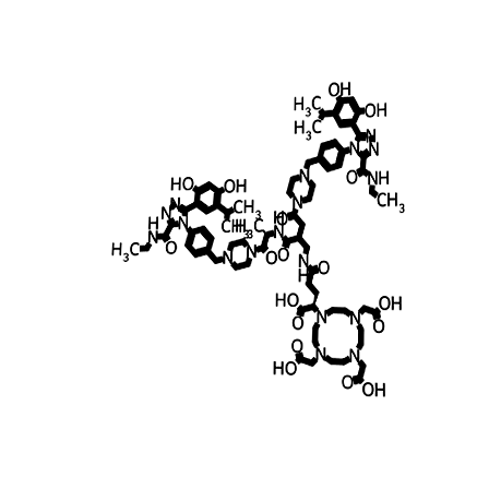 CCNC(=O)c1nnc(-c2cc(C(C)C)c(O)cc2O)n1-c1ccc(CN2CCN(C(=O)CC(CNC(=O)CC[C@H](C(=O)O)N3CCN(CC(=O)O)CCN(CC(=O)O)CCN(CC(=O)O)CC3)C(=O)N[C@@H](C)C(=O)N3CCN(Cc4ccc(-n5c(C(=O)NCC)nnc5-c5cc(C(C)C)c(O)cc5O)cc4)CC3)CC2)cc1